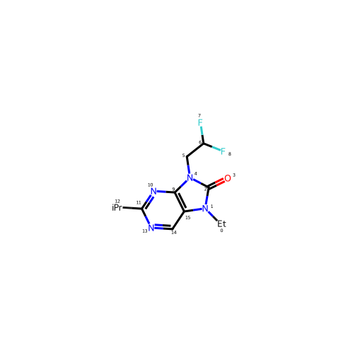 CCn1c(=O)n(CC(F)F)c2nc(C(C)C)ncc21